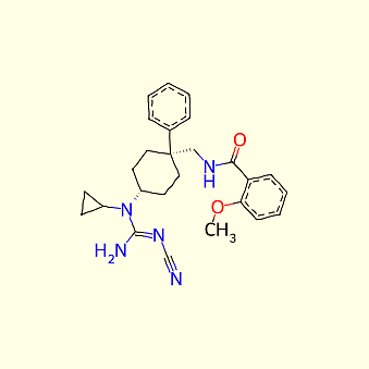 COc1ccccc1C(=O)NC[C@]1(c2ccccc2)CC[C@H](N(C(N)=NC#N)C2CC2)CC1